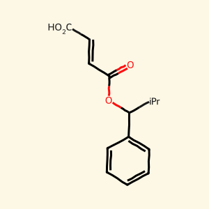 CC(C)C(OC(=O)C=CC(=O)O)c1ccccc1